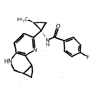 C[C@H]1C[C@@]1(NC(=O)c1ccc(F)cc1)c1ccc2c(n1)C1CC1CN2